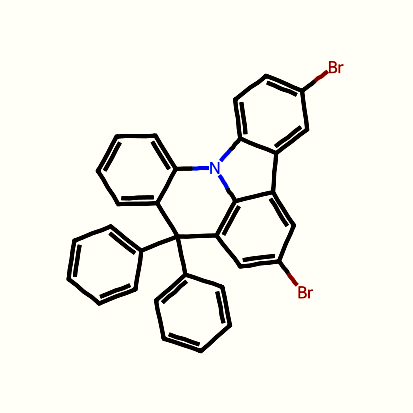 Brc1ccc2c(c1)c1cc(Br)cc3c1n2-c1ccccc1C3(c1ccccc1)c1ccccc1